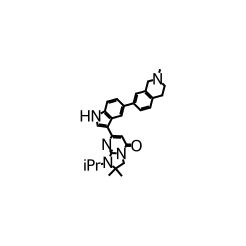 CC(C)N1c2nc(-c3c[nH]c4ccc(-c5ccc6c(c5)CN(C)CC6)cc34)cc(=O)n2CC1(C)C